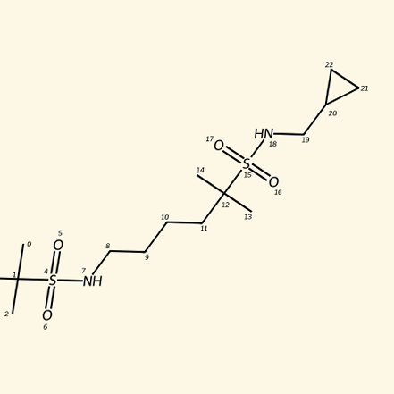 CC(C)(C)S(=O)(=O)NCCCCC(C)(C)S(=O)(=O)NCC1CC1